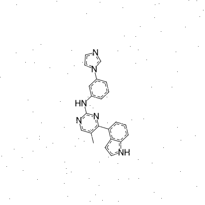 Cc1cnc(Nc2cccc(-n3ccnc3)c2)nc1-c1cccc2[nH]ccc12